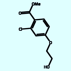 COC(=O)c1ccc(OCCO)cc1Cl